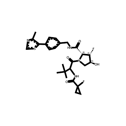 Cc1ncsc1-c1ccc(CNC(=O)[C@@H]2[C@H](F)[C@@H](O)CN2C(=O)C(NC(=O)C2(F)CC2)C(C)(C)C)cc1